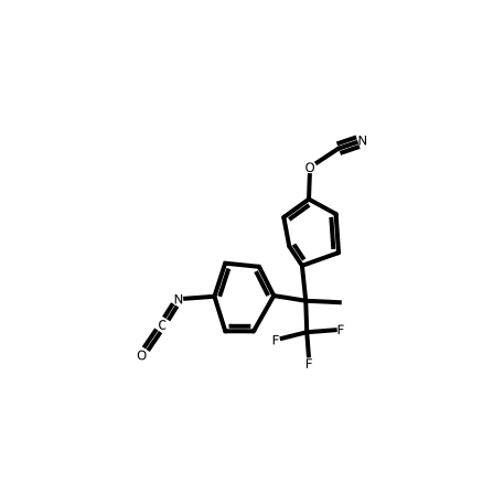 CC(c1ccc(N=C=O)cc1)(c1ccc(OC#N)cc1)C(F)(F)F